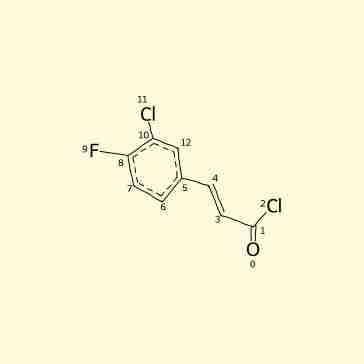 O=C(Cl)C=Cc1ccc(F)c(Cl)c1